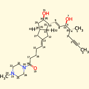 CC#CC[C@@H](C)[C@H](O)C=C[C@@H]1[C@H]2CC(=CCCCC(=O)N3CCN(C)CC3)C[C@H]2C[C@H]1O